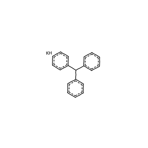 [KH].c1ccc(C(c2ccccc2)c2ccccc2)cc1